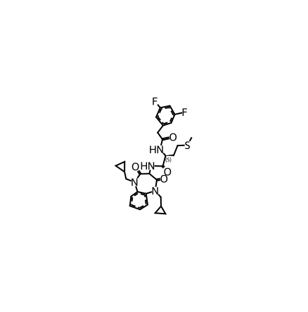 CSCC[C@H](NC(=O)Cc1cc(F)cc(F)c1)C(=O)NC1C(=O)N(CC2CC2)c2ccccc2N(CC2CC2)C1=O